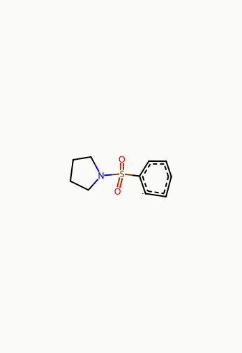 O=S(=O)(c1[c]cccc1)N1CCCC1